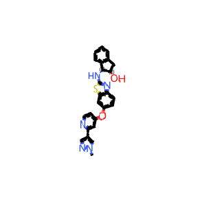 Cn1cc(-c2cc(Oc3ccc4nc(N[C@H]5c6ccccc6C[C@H]5O)sc4c3)ccn2)cn1